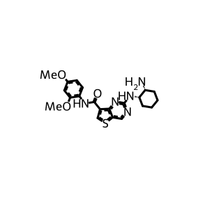 COc1ccc(NC(=O)c2csc3cnc(N[C@H]4CCCC[C@H]4N)nc23)c(OC)c1